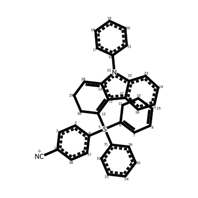 N#Cc1ccc(S(C2=CC=CCC2)(C2=c3c(n(-c4ccccc4)c4ccccc34)=CCC2)c2ccccc2)cc1